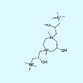 C[N+](C)(C)CC(O)C[N+]1(C)CC[N+](C)(CC(O)C[N+](C)(C)C)CC(O)C1